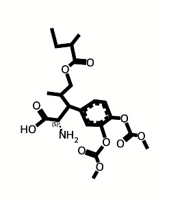 CCC(C)C(=O)OCC(C)C(c1ccc(OC(=O)OC)c(OC(=O)OC)c1)[C@H](N)C(=O)O